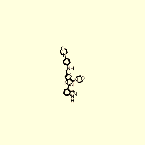 c1cc(-c2nc(N3CCOCC3)c3sc(CNc4ccc(N5CCOCC5)cc4)cc3n2)c2cn[nH]c2c1